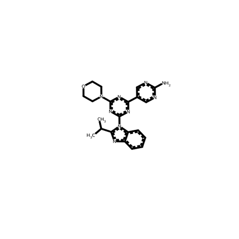 CC(C)c1nc2ccccc2n1-c1nc(-c2cnc(N)nc2)nc(N2CCOCC2)n1